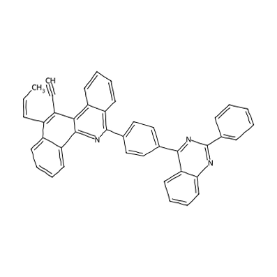 C#Cc1c(/C=C\C)c2ccccc2c2nc(-c3ccc(-c4nc(-c5ccccc5)nc5ccccc45)cc3)c3ccccc3c12